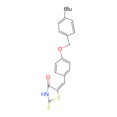 CC(C)(C)c1ccc(COc2ccc(C=C3SC(=S)NC3=O)cc2)cc1